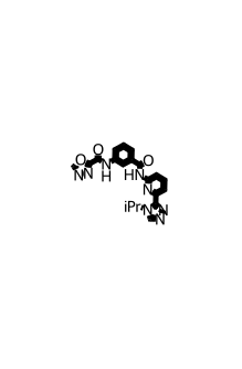 CC(C)n1cnnc1-c1cccc(NC(=O)c2cccc(NC(=O)c3nnco3)c2)n1